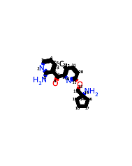 Nc1ncccc1C(=O)c1nc(OCC2(N)CCCC2)ccc1C(F)(F)F